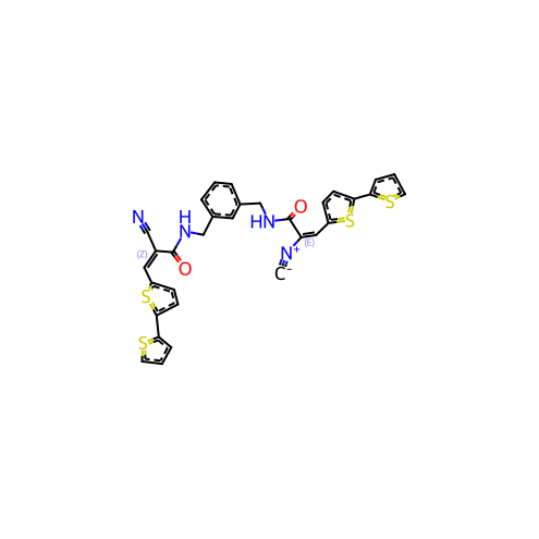 [C-]#[N+]/C(=C/c1ccc(-c2cccs2)s1)C(=O)NCc1cccc(CNC(=O)/C(C#N)=C\c2ccc(-c3cccs3)s2)c1